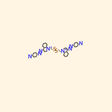 CN(C)c1ccc(/N=N/c2cc[n+](CCSSCC[n+]3ccc(/N=N/c4ccc(N(C)C)cc4)c4ccccc43)c3ccccc23)cc1